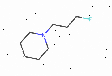 FCCCN1CC[CH]CC1